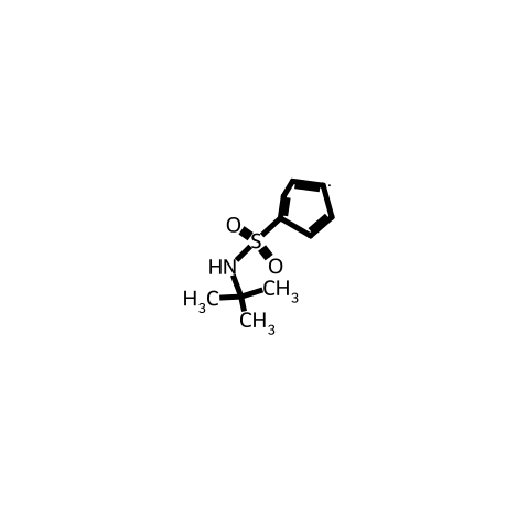 CC(C)(C)NS(=O)(=O)c1cc[c]cc1